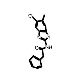 Cc1cc2sc(NC(=O)Cc3ccccc3)nc2cc1Cl